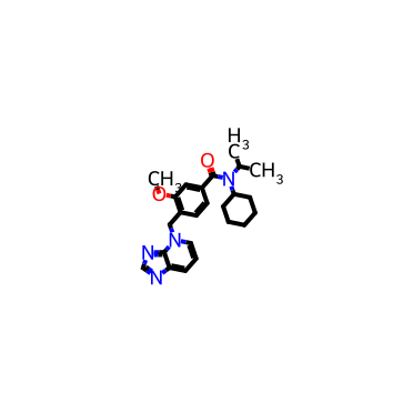 COc1cc(C(=O)N(C(C)C)C2CCCCC2)ccc1Cn1cccc2ncnc1-2